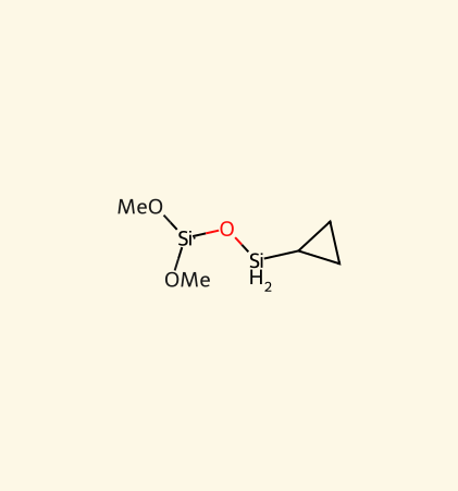 CO[Si](OC)O[SiH2]C1CC1